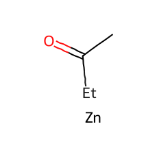 CCC(C)=O.[Zn]